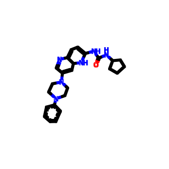 O=C(NC1=CC=C2N=CC(N3CCN(c4ccccc4)CC3)=CC2N1)NC1CCCC1